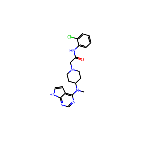 CN(c1ncnc2[nH]ccc12)C1CCN(CC(=O)Nc2ccccc2Cl)CC1